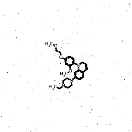 CCN1CCN(c2ccc3c(c2)N(c2ccc(OCCOC)cc2OC)CC=C3)CC1